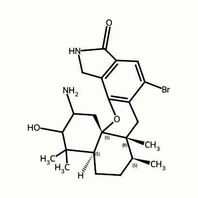 C[C@H]1CC[C@H]2C(C)(C)C(O)C(N)C[C@]23Oc2c(c(Br)cc4c2CNC4=O)C[C@]13C